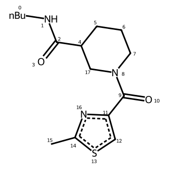 CCCCNC(=O)C1CCCN(C(=O)c2csc(C)n2)C1